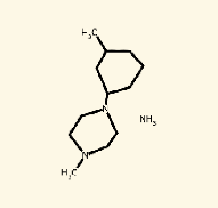 CC1CCCC(N2CCN(C)CC2)C1.N